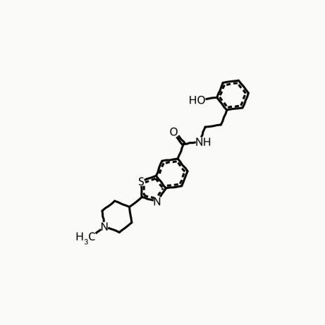 CN1CCC(c2nc3ccc(C(=O)NCCc4ccccc4O)cc3s2)CC1